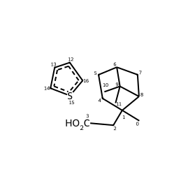 CC1(CC(=O)O)CCC2CC1C2(C)C.c1ccsc1